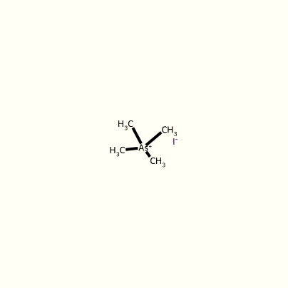 C[As+](C)(C)C.[I-]